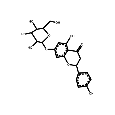 O=C1CC(c2ccc(O)cc2)Oc2cc(OC3OC(CO)C(O)C(O)C3O)cc(O)c21